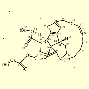 CC(C)(C)OC(=O)OC[C@H]1C[C@@]23C(=O)N4CCCC/C=C\CCc5cc(c(o5)[C@@H]2N1C(=O)OC(C)(C)C)[C@@H]3CC4